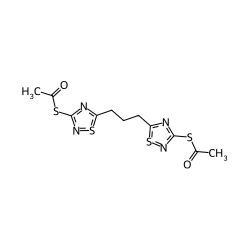 CC(=O)Sc1nsc(CCCc2nc(SC(C)=O)ns2)n1